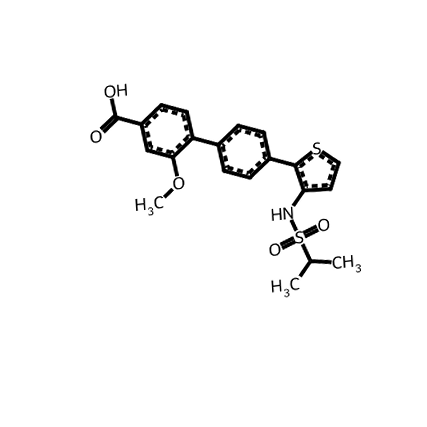 COc1cc(C(=O)O)ccc1-c1ccc(-c2sccc2NS(=O)(=O)C(C)C)cc1